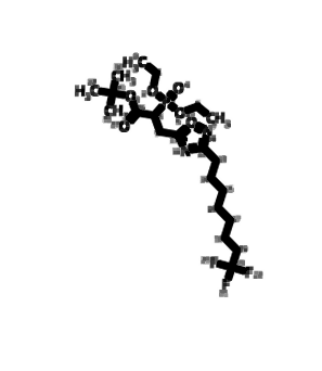 CCOP(=O)(OCC)C(Cc1nc(CCCCCCCC(F)(F)F)no1)C(=O)OC(C)(C)C